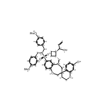 C=CC(O)[C@@H]1CC[C@H]1CN1C[C@@]2(CCOc3cc(Cl)ccc32)COc2ccc(S(=O)(=O)N(Cc3ccc(OC)cc3)Cc3ccc(OC)cc3)cc21